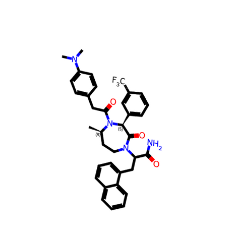 C[C@@H]1CCN(C(Cc2cccc3ccccc23)C(N)=O)C(=O)[C@H](c2cccc(C(F)(F)F)c2)N1C(=O)Cc1ccc(N(C)C)cc1